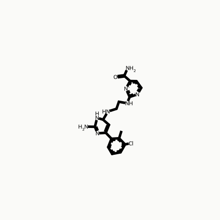 Cc1c(Cl)cccc1C1=CC(NCCNc2nccc(C(N)=O)n2)NC(N)=N1